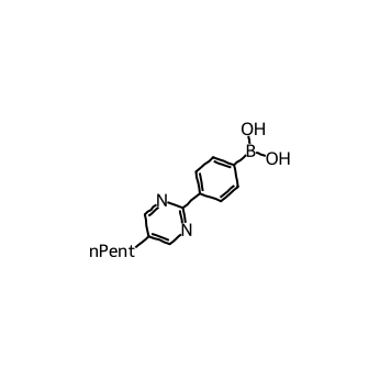 CCCCCc1cnc(-c2ccc(B(O)O)cc2)nc1